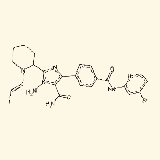 CC=CN1CCCCC1c1nc(-c2ccc(C(=O)Nc3cc(CC)ccn3)cc2)c(C(N)=O)n1N